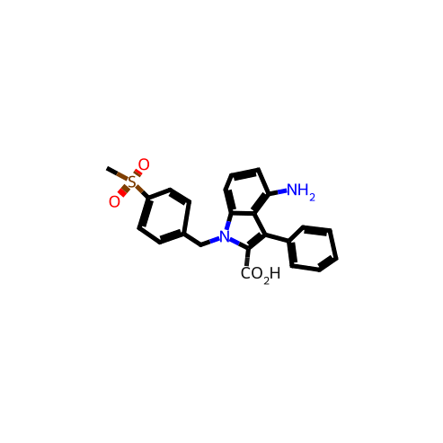 CS(=O)(=O)c1ccc(Cn2c(C(=O)O)c(-c3ccccc3)c3c(N)cccc32)cc1